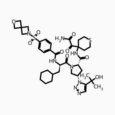 CC(C)(O)c1cnnn1[C@H]1C[C@@H](C(=O)NC2(C(=O)C(N)=O)CCSCC2)N(C(=O)[C@@H](CC2CCCCC2)NC(=O)c2ccc(S(=O)(=O)N3CC4(COC4)C3)cc2)C1